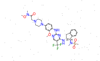 COc1cc(N2CCN(CC(=O)N(C)OC)CC2)ccc1Nc1ncc(C(F)(F)F)c(N[C@@H]2Cc3ccccc3[C@H]2N(C)S(C)(=O)=O)n1